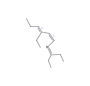 CC/C=C(/C=C\N=C(CC)CC)CC